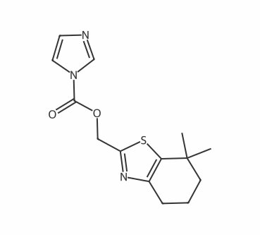 CC1(C)CCCc2nc(COC(=O)n3ccnc3)sc21